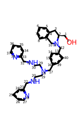 OC[C@@H]1Cc2ccccc2CN1Cc1ccc(CN(CCNCc2ccccn2)CCNCc2ccccn2)cc1